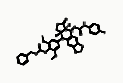 COc1cc([C@@H]2c3cc4c(cc3[C@H](OC(=O)Nc3ccc(F)cc3)[C@@H]3C(=O)OC[C@@H]23)OCO4)cc(OC)c1OC(=O)OCc1ccccc1